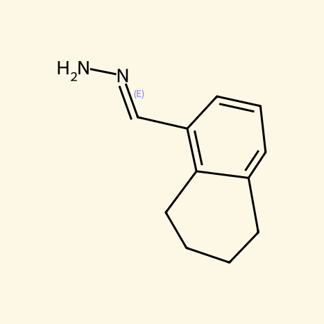 N/N=C/c1cccc2c1CCCC2